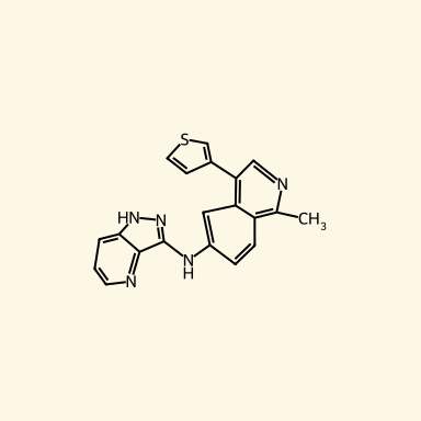 Cc1ncc(-c2ccsc2)c2cc(Nc3n[nH]c4cccnc34)ccc12